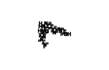 CN(C)CCN(C)c1ccc(NC(=O)C(=N)c2cc(-c3cncc(CN4CCC(O)CC4)c3)ccc2N)cn1